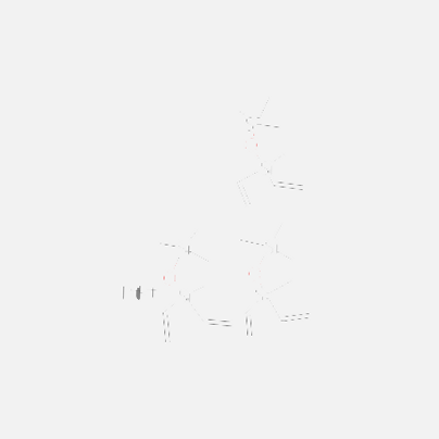 C=C[Si](C)(C=C)O[Si](C)(C)C.C=C[Si](C)(C=C)O[Si](C)(C)C.C=C[Si](C)(C=C)O[Si](C)(C)C.[Pt].[Pt]